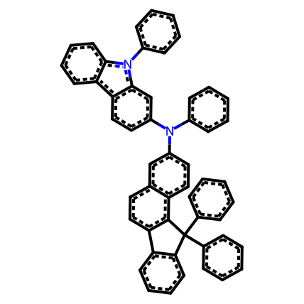 c1ccc(N(c2ccc3c4c(ccc3c2)-c2ccccc2C4(c2ccccc2)c2ccccc2)c2ccc3c4ccccc4n(-c4ccccc4)c3c2)cc1